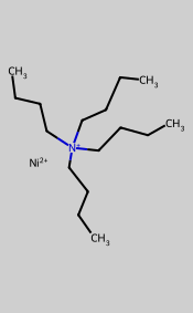 CCCC[N+](CCCC)(CCCC)CCCC.[Ni+2]